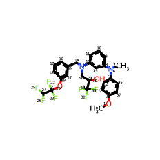 COc1ccc(N(C)c2cccc(N(Cc3cccc(OC(F)(F)C(F)F)c3)CC(O)C(F)(F)F)c2)cc1